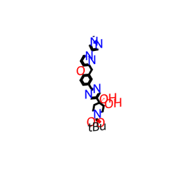 Cn1cc(-n2ccc(=O)c(Cc3cccc(-c4ncc([C@]5(O)CCN(C(=O)OC(C)(C)C)C[C@@H]5O)cn4)c3)n2)cn1